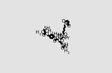 CC(C)[C@H](NC(=O)CCCCCN1C(=O)C=CC1=O)C(=O)N[C@@H](CCCNC(N)=O)C(=O)Nc1ccc(COC(=O)C(C)(C)CS)cc1